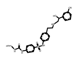 CCCCCCNC(=O)Nc1ccc(S(=O)(=O)Nc2ccc(CCNCC(O)c3cccc(C#N)c3)cc2)cc1